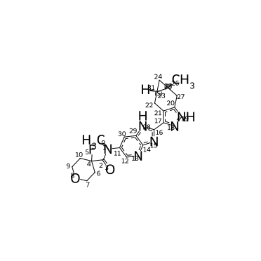 CN(C(=O)C1(F)CCOCC1)c1cnc2nc(-c3n[nH]c4c3C[C@@H]3C[C@]3(C)C4)[nH]c2c1